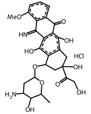 COc1cccc2c1C(=N)c1c(O)c3c(c(O)c1C2=O)CC(O)(C(=O)CO)CC3OC1CC(N)C(O)C(C)O1.Cl